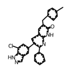 Cc1ccc(Cc2cc3cc(-c4cc(Cl)c5[nH]ncc5c4)c(-c4ccccc4)nc3[nH]c2=O)cc1